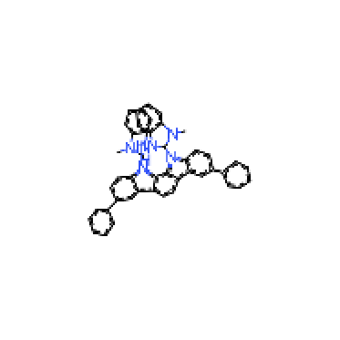 CN1c2ccccc2NC1n1c2ccc(-c3ccccc3)cc2c2ccc3c4cc(-c5ccccc5)ccc4n(C4Nc5ccccc5N4C)c3c21